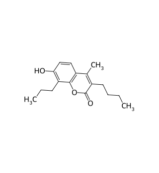 CCCCc1c(C)c2ccc(O)c(CCC)c2oc1=O